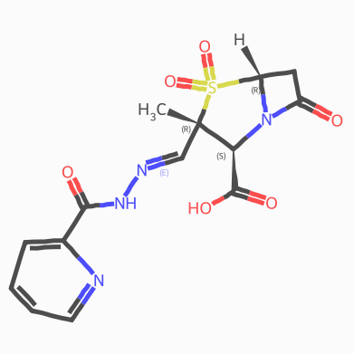 C[C@]1(/C=N/NC(=O)c2ccccn2)[C@H](C(=O)O)N2C(=O)C[C@H]2S1(=O)=O